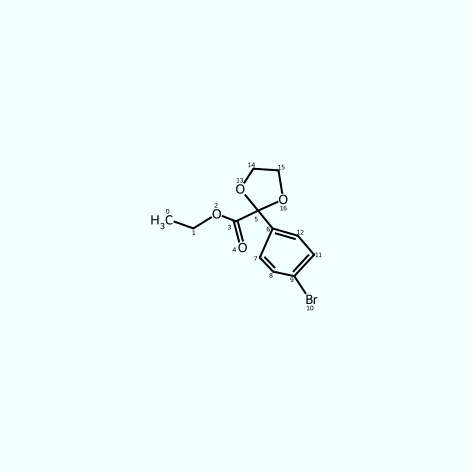 CCOC(=O)C1(c2ccc(Br)cc2)OCCO1